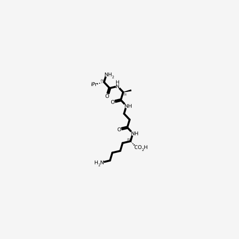 CC(C)[C@H](N)C(=O)N[C@@H](C)C(=O)NCCC(=O)N[C@@H](CCCCN)C(=O)O